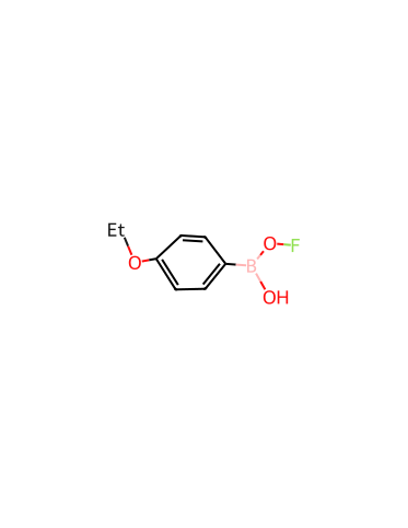 CCOc1ccc(B(O)OF)cc1